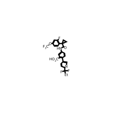 CCC(F)(F)c1ccc(-c2ccc(NC(=O)C3(c4ccc(OC(F)(F)F)cc4F)CC3)cc2C(=O)O)cn1